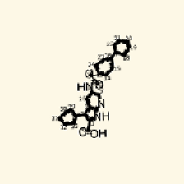 O=C(O)c1[nH]c2ncc(NS(=O)(=O)c3ccc(-c4ccccc4)cc3)cc2c1-c1ccccc1